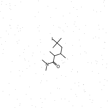 CC(CC(C)(C)I)C(C)C(=O)N(C)C